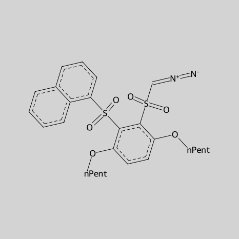 CCCCCOc1ccc(OCCCCC)c(S(=O)(=O)c2cccc3ccccc23)c1S(=O)(=O)C=[N+]=[N-]